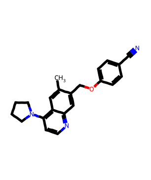 Cc1cc2c(N3CCCC3)ccnc2cc1COc1ccc(C#N)cc1